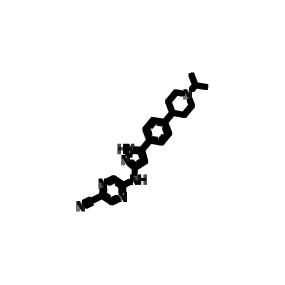 CC(C)N1CCC(c2ccc(-c3cc(Nc4cnc(C#N)cn4)n[nH]3)cc2)CC1